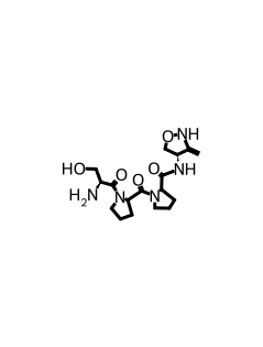 C=C1NOC[C@H]1NC(=O)C1CCCN1C(=O)C1CCCN1C(=O)[C@@H](N)CO